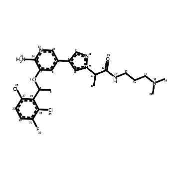 CC(Oc1cc(-c2cnn(C(C)C(=O)NCCCN(C)C)c2)cnc1N)c1c(Cl)ccc(F)c1Cl